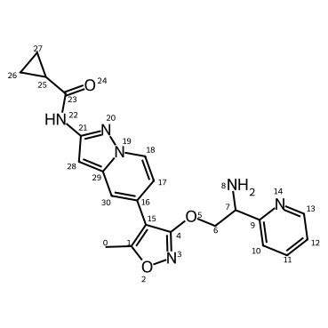 Cc1onc(OCC(N)c2ccccn2)c1-c1ccn2nc(NC(=O)C3CC3)cc2c1